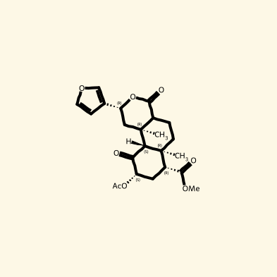 COC(=O)[C@@H]1C[C@H](OC(C)=O)C(=O)[C@H]2[C@@]1(C)CCC1C(=O)O[C@@H](c3ccoc3)C[C@@]12C